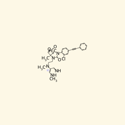 CN/C=C(\C=N)N(C)CCN(C(=O)N(C)c1ccc(C#Cc2ccccc2)cc1Cl)C(C)(C=O)CC=O